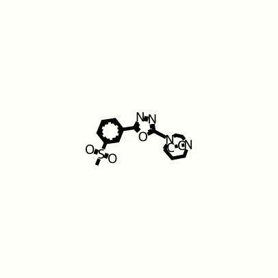 CS(=O)(=O)c1cccc(-c2nnc(N3CCN4CCC3CC4)o2)c1